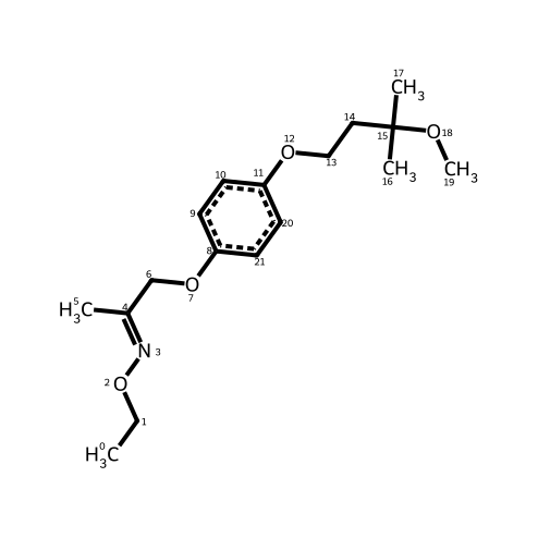 CCON=C(C)COc1ccc(OCCC(C)(C)OC)cc1